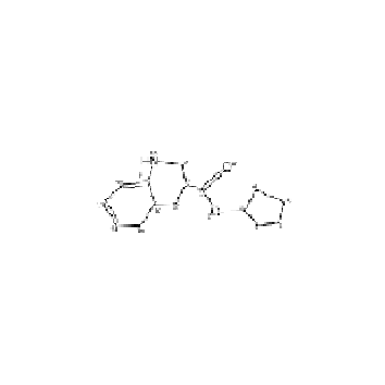 O=C(OC1CCCC1)C1CNC2=CC=CCC2C1